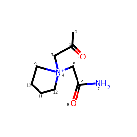 CC(=O)C[N+]1(CC(N)=O)CCCC1